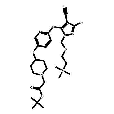 CC(C)(C)OC(=O)CN1CCC(Oc2ccc(Nc3c(C#N)c(Br)nn3COCC[Si](C)(C)C)nc2)CC1